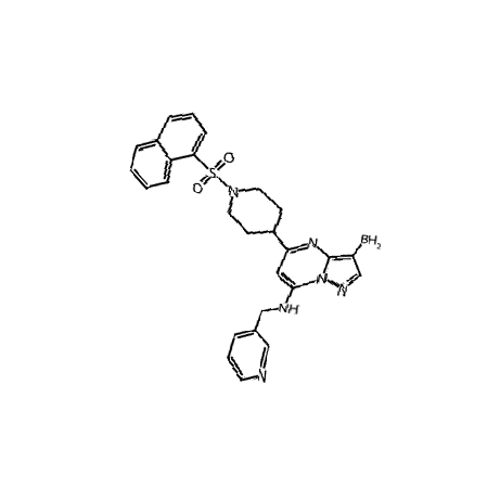 Bc1cnn2c(NCc3cccnc3)cc(C3CCN(S(=O)(=O)c4cccc5ccccc45)CC3)nc12